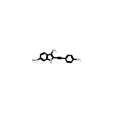 COc1ccc2c(N)c(C#Cc3ccc(C)cc3)[nH]c2c1